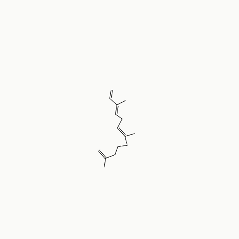 C=C/C(C)=C/C/C=C(\C)CCCC(=C)C